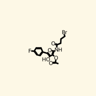 CC(=O)Oc1c(NC(=O)CCCBr)oc(-c2ccc(F)cc2)c1O